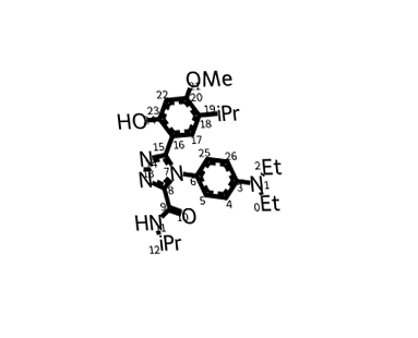 CCN(CC)c1ccc(-n2c(C(=O)NC(C)C)nnc2-c2cc(C(C)C)c(OC)cc2O)cc1